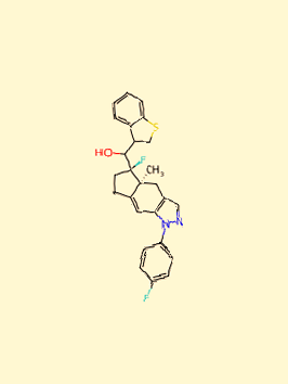 C[C@]12Cc3cnn(-c4ccc(F)cc4)c3C=C1CC[C@]2(F)C(O)C1CSc2ccccc21